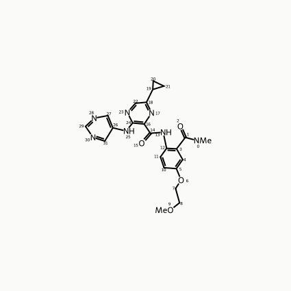 CNC(=O)c1cc(OCCOC)ccc1NC(=O)c1nc(C2CC2)cnc1Nc1cncnc1